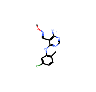 CO/N=C/c1c(N)ncnc1Nc1cc(Cl)ccc1C